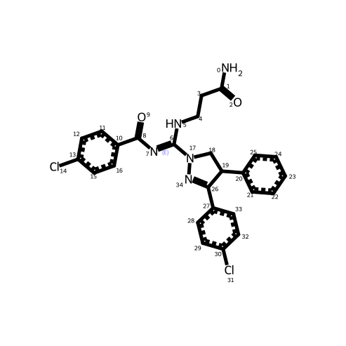 NC(=O)CCN/C(=N\C(=O)c1ccc(Cl)cc1)N1CC(c2ccccc2)C(c2ccc(Cl)cc2)=N1